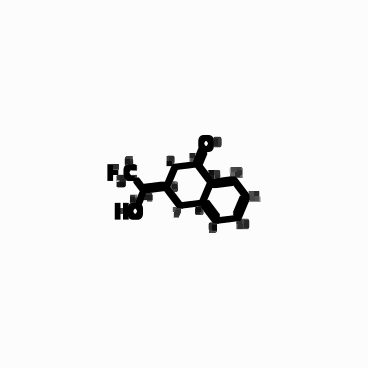 O=C1CC(=C(O)C(F)(F)F)Cc2ccccc21